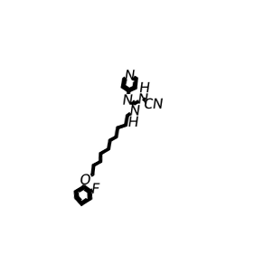 N#CN/C(=N\c1ccncc1)NCCCCCCCCCCOc1ccccc1F